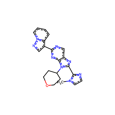 Cn1ccnc1-c1nc2cnc(-c3cnn4ccccc34)nc2n1C1CCOCC1